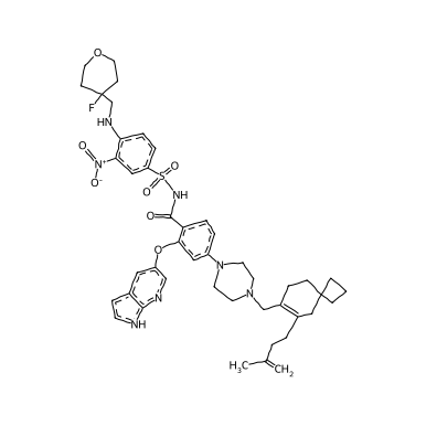 C=C(C)CCC1=C(CN2CCN(c3ccc(C(=O)NS(=O)(=O)c4ccc(NCC5(F)CCOCC5)c([N+](=O)[O-])c4)c(Oc4cnc5[nH]ccc5c4)c3)CC2)CCC2(CCC2)C1